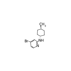 C[C@H]1CC[C@H](Nc2cc(Br)ccn2)CC1